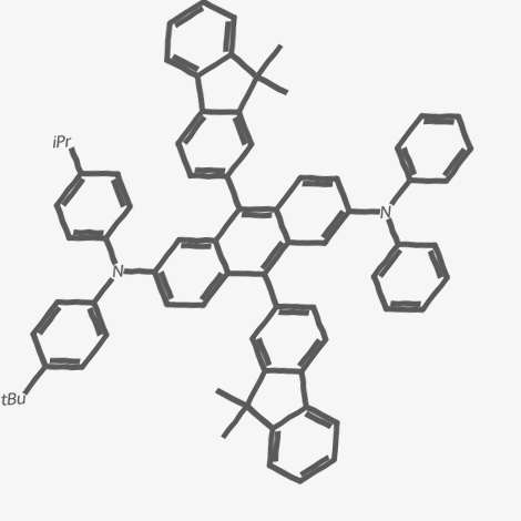 CC(C)c1ccc(N(c2ccc(C(C)(C)C)cc2)c2ccc3c(-c4ccc5c(c4)C(C)(C)c4ccccc4-5)c4cc(N(c5ccccc5)c5ccccc5)ccc4c(-c4ccc5c(c4)C(C)(C)c4ccccc4-5)c3c2)cc1